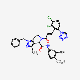 Cc1nn(Cc2ccccc2)c2c1C(C(=O)Nc1ccc(C(=O)O)c(C(C)(C)C)c1)N(C(=O)/C=C/c1c(-n3cnnn3)ccc(Cl)c1F)CC2